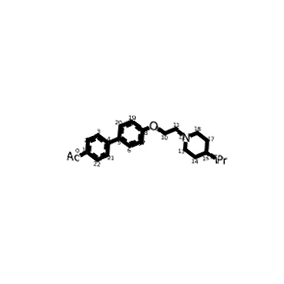 CC(=O)c1ccc(-c2ccc(OCCN3CCC(C(C)C)CC3)cc2)cc1